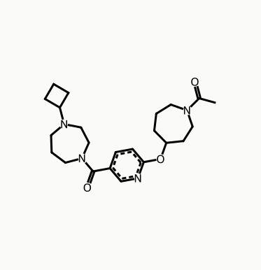 CC(=O)N1CCCC(Oc2ccc(C(=O)N3CCCN(C4CCC4)CC3)cn2)CC1